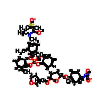 C1CCOC1.CN(C)C=O.COC1CCC(OC)O1.C[S+](C)[O-].Cc1ccccc1OP(=O)(Oc1ccccc1C)Oc1ccccc1C.O=[N+]([O-])c1ccccc1